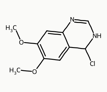 COc1cc2c(cc1OC)C(Cl)NC=N2